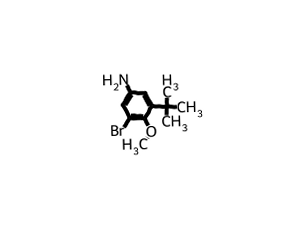 COc1c(Br)cc(N)cc1C(C)(C)C